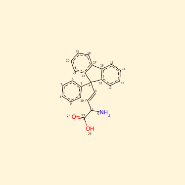 NC(C=CC1(c2ccccc2)c2ccccc2-c2ccccc21)C(=O)O